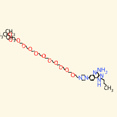 CCCCc1nc2c(N)nc3cc(N4CCN(CCOCCOCCOCCOCCOCCOCCOCCOCCOCCOCCC(=O)OC(C)(C)C)CC4)ccc3c2[nH]1